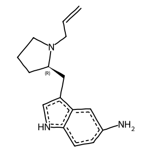 C=CCN1CCC[C@@H]1Cc1c[nH]c2ccc(N)cc12